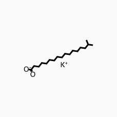 CC(C)CCCCCCCCCCCCCCC(=O)[O-].[K+]